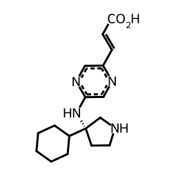 O=C(O)/C=C/c1cnc(N[C@@]2(C3CCCCC3)CCNC2)cn1